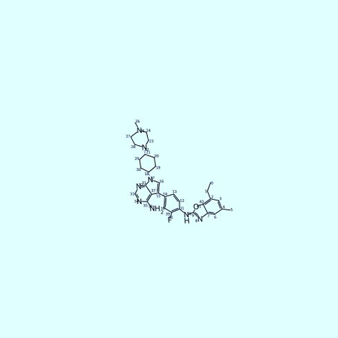 CCc1cc(C)cc2nc(Nc3ccc(-c4cn([C@H]5CC[C@@H](N6CCN(C)CC6)CC5)c5ncnc(N)c45)cc3F)oc12